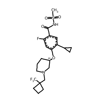 CS(=O)(=O)NC(=O)c1cc(C2CC2)c(O[C@@H]2CCCN(CC3(C(F)(F)F)CCC3)C2)cc1F